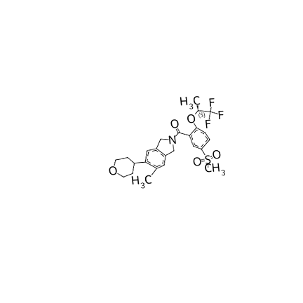 Cc1cc2c(cc1C1CCOCC1)CN(C(=O)c1cc(S(C)(=O)=O)ccc1O[C@@H](C)C(F)(F)F)C2